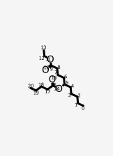 CCCCCC(CCCC(=O)OCC)OC(=O)CCCC